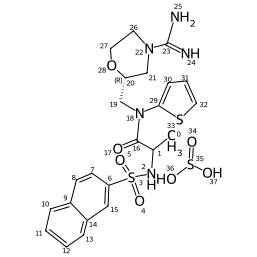 CC(NS(=O)(=O)c1ccc2ccccc2c1)C(=O)N(C[C@H]1CN(C(=N)N)CCO1)c1cccs1.O=S(O)O